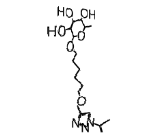 CC1O[C@@H](OCCCCCCOCc2cn(C(C)C)nn2)C(O)C(O)[C@@H]1O